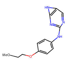 COCCOc1ccc(Nc2ncc3c(n2)N3)cc1